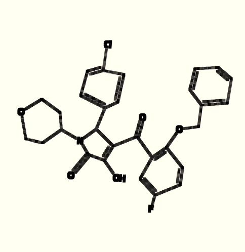 O=C(C1=C(O)C(=O)N(C2CCOCC2)C1c1ccc(Cl)cc1)c1cc(F)ccc1OCc1ccccc1